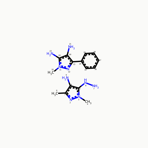 Cc1nn(C)c(NN)c1N.Cn1nc(-c2ccccc2)c(N)c1N